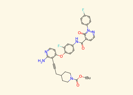 CC(C)(C)OC(=O)N1CCC(CC#Cc2c(Oc3ccc(NC(=O)c4ccnn(-c5ccc(F)cc5)c4=O)cc3F)ccnc2N)CC1